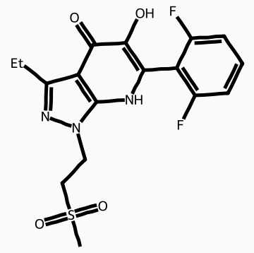 CCc1nn(CCS(C)(=O)=O)c2[nH]c(-c3c(F)cccc3F)c(O)c(=O)c12